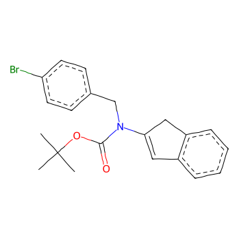 CC(C)(C)OC(=O)N(Cc1ccc(Br)cc1)C1=Cc2ccccc2C1